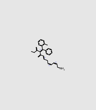 C=C(/C=C/C/C=C\C=C/CN)/C(C(=C)CC)=C(\c1ccccc1)c1ccccc1C